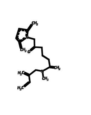 C=CC(=C)CN(C)C(=C)CCCC(=O)Cn1c(=C)ccc1=C